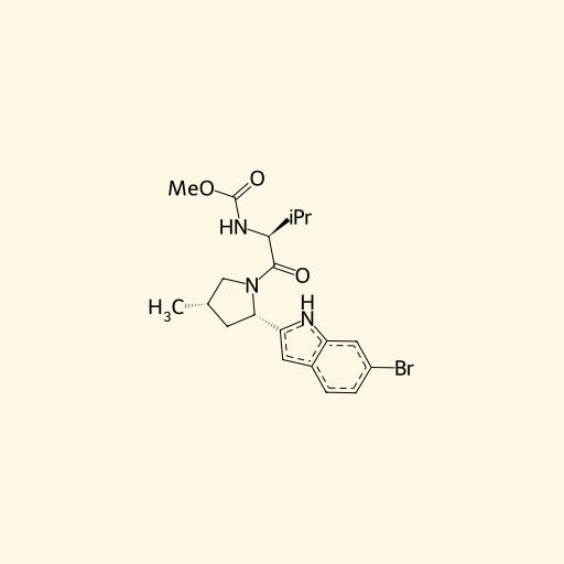 COC(=O)N[C@H](C(=O)N1C[C@@H](C)C[C@H]1c1cc2ccc(Br)cc2[nH]1)C(C)C